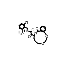 Cc1cccc(Cl)c1CNC(=O)C(=O)C1CCCCOCCOCc2ccccc2C(=O)N1